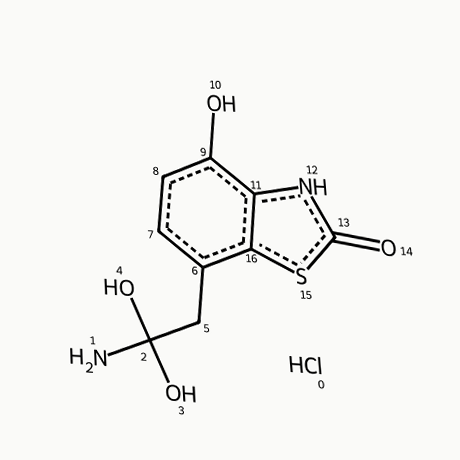 Cl.NC(O)(O)Cc1ccc(O)c2[nH]c(=O)sc12